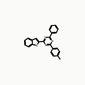 Cc1ccc(-c2nc(-c3ccccc3)nc(-c3cc4ccccc4s3)n2)cc1